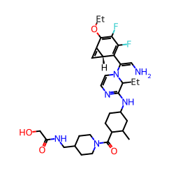 CCOC1=C(F)C(F)=C(/C(=C/N)N2C=CN=C(NC3CCC(C(=O)N4CCC(CNC(=O)CO)CC4)C(C)C3)C2CC)[C@@H]2C=C12